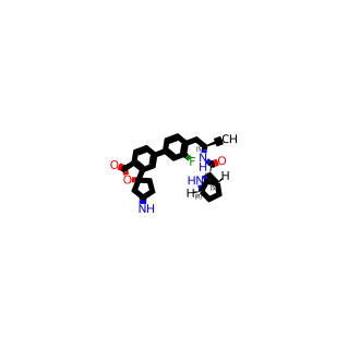 C#C[C@H](Cc1ccc(-c2ccc3c(c2)C2(CCC(=N)C2)OC3=O)cc1F)NC(=O)[C@H]1N[C@@H]2CC[C@H]1C2